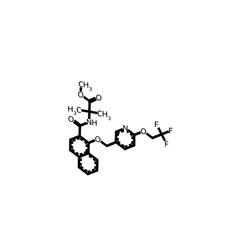 COC(=O)C(C)(C)NC(=O)c1ccc2ccccc2c1OCc1ccc(OCC(F)(F)F)nc1